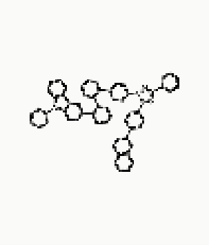 c1ccc(-c2nc(-c3ccc(-c4ccc5ccccc5c4)cc3)n(-c3ccc(-c4ccccc4-c4ccccc4-c4ccc5c(c4)c4ccccc4n5-c4ccccc4)cc3)n2)cc1